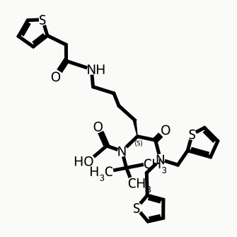 CC(C)(C)N(C(=O)O)[C@@H](CCCCNC(=O)Cc1cccs1)C(=O)N(Cc1cccs1)Cc1cccs1